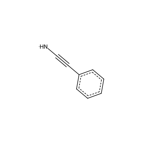 [NH]C#Cc1ccccc1